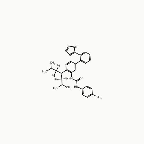 [2H]C([2H])(C(C)C)N(c1ccc(-c2ccccc2-c2nnn[nH]2)cc1NC(=O)Nc1ccc(C)cc1)C([2H])([2H])C(C)C